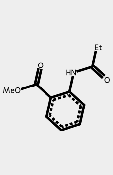 CCC(=O)Nc1ccccc1C(=O)OC